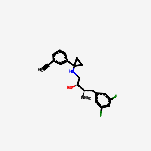 C#Cc1cccc(C2(NC[C@@H](O)[C@H](Cc3cc(F)cc(F)c3)NC(C)=O)CC2)c1